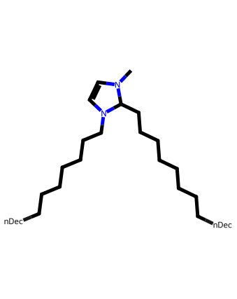 CCCCCCCCCCCCCCCCCCC1N(C)C=CN1CCCCCCCCCCCCCCCCC